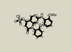 COc1ccccc1Nc1ncc2c(OS(=O)(=O)C(F)(F)F)cc(=O)n(-c3ccccc3OC)c2n1